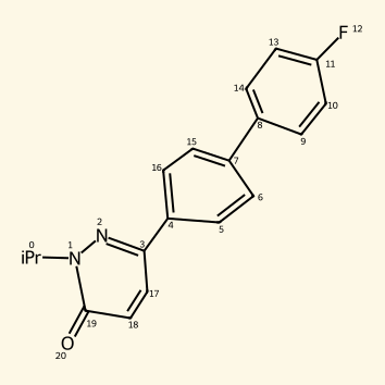 CC(C)n1nc(-c2ccc(-c3ccc(F)cc3)cc2)ccc1=O